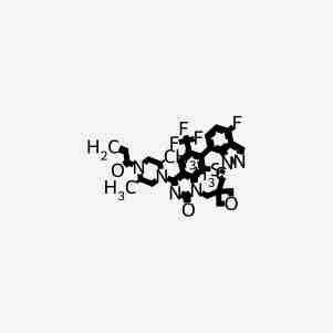 C=CC(=O)N1C[C@H](C)N(c2nc(=O)n3c4c(c(-c5ccc(F)c6cnn(C)c56)c(C(F)(F)F)cc24)SCC2(COC2)C3)C[C@H]1C